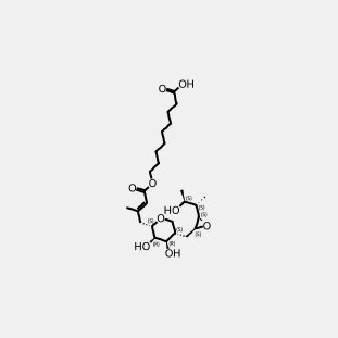 CC(=CC(=O)OCCCCCCCCC(=O)O)C[C@@H]1OC[C@H](C[C@@H]2O[C@H]2[C@@H](C)[C@H](C)O)[C@@H](O)[C@H]1O